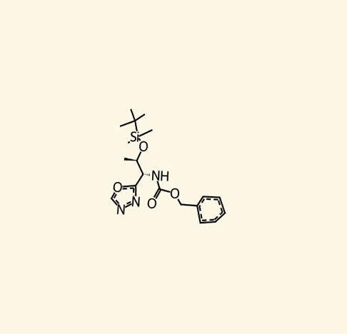 C[C@@H](O[Si](C)(C)C(C)(C)C)[C@H](NC(=O)OCc1ccccc1)c1nnco1